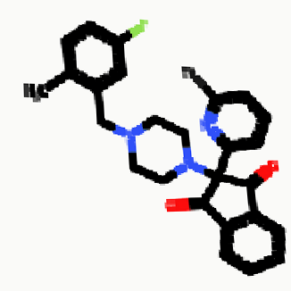 CCc1cccc(C2(N3CCN(Cc4cc(F)ccc4C)CC3)C(=O)c3ccccc3C2=O)n1